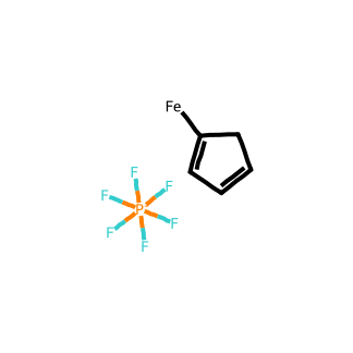 F[P-](F)(F)(F)(F)F.[Fe][C]1=CC=CC1